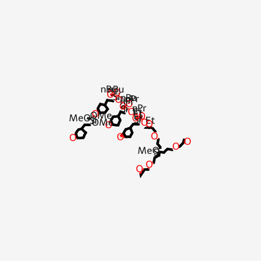 CCCCO[Si](CCC1CCC2OC2C1)(OCCCC)OCCCC.CCCO[Si](CCC1CCC2OC2C1)(OCCC)OCCC.CCO[Si](CCC1CCC2OC2C1)(OCC)OCC.CO[Si](CCC1CCC2OC2C1)(OC)OC.CO[Si](CCCOCC1CO1)(CCCOCC1CO1)CCCOCC1CO1